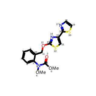 COC(=O)N(OC)c1ccccc1COc1nc(-c2nccs2)cs1